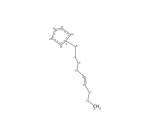 CCCC=CCCCCc1c[c]ccc1